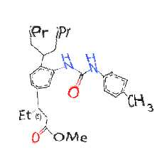 CC[C@@H](CC(=O)OC)c1ccc(C(CC(C)C)CC(C)C)c(NC(=O)Nc2ccc(C)cc2)c1